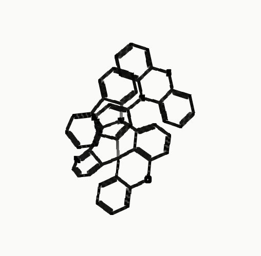 c1ccc2c(c1)Oc1cccc(-n3c4ccccc4c4ccccc43)c1C21c2cccnc2-c2ncc(N3c4ccccc4Sc4ccccc43)cc21